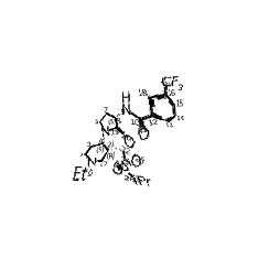 CCN1CC[C@H](N2CC[C@H](NC(=O)c3cccc(C(F)(F)F)c3)C2=O)[C@H](CS(=O)(=O)C(C)C)C1